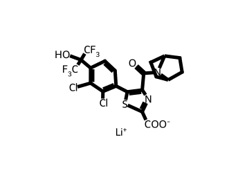 O=C([O-])c1nc(C(=O)N2C3CCC2CC3)c(-c2ccc(C(O)(C(F)(F)F)C(F)(F)F)c(Cl)c2Cl)s1.[Li+]